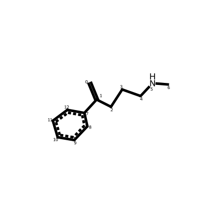 C=C(CCCNC)c1ccccc1